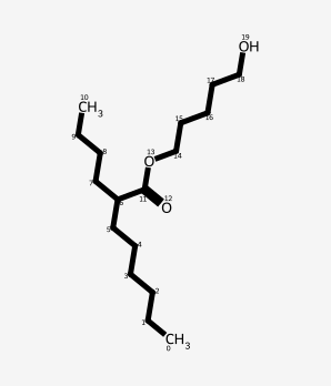 CCCCCCC(CCCC)C(=O)OCCCCCO